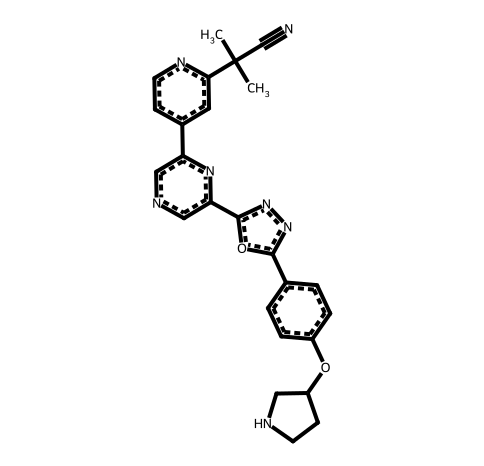 CC(C)(C#N)c1cc(-c2cncc(-c3nnc(-c4ccc(OC5CCNC5)cc4)o3)n2)ccn1